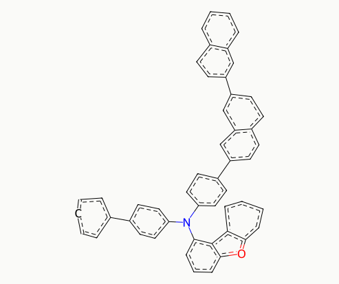 c1ccc(-c2ccc(N(c3ccc(-c4ccc5ccc(-c6ccc7ccccc7c6)cc5c4)cc3)c3cccc4oc5ccccc5c34)cc2)cc1